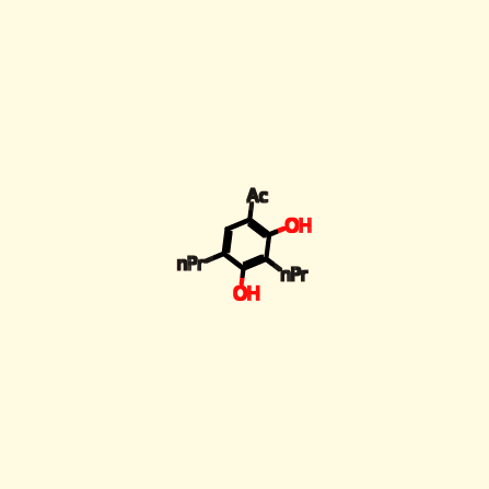 CCCc1cc(C(C)=O)c(O)c(CCC)c1O